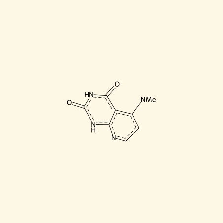 CNc1ccnc2[nH]c(=O)[nH]c(=O)c12